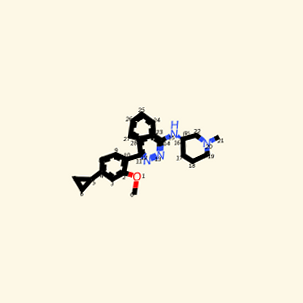 COc1cc(C2CC2)ccc1-c1nnc(N[C@@H]2CCCN(C)C2)c2ccccc12